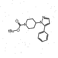 CC(C)(C)OC(=O)N1CCC(n2nccc2-c2ccccc2)CC1